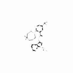 CS(=O)(=O)n1cc(NC(=O)c2cc(C(F)(F)F)cnc2N2CCCC(F)(F)CC2)c2cccnc21